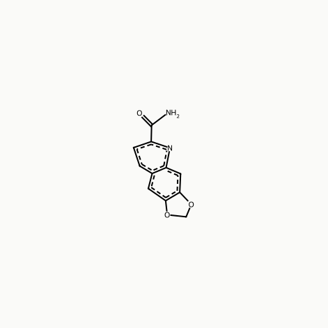 NC(=O)c1ccc2cc3c(cc2n1)OCO3